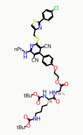 CCCNc1nc(SCc2csc(-c3ccc(Cl)cc3)n2)c(C#N)c(-c2ccc(OCCOC(=O)[C@H](C)NC(=O)[C@H](CCCCNC(=O)OC(C)(C)C)NC(=O)OC(C)(C)C)cc2)c1C#N